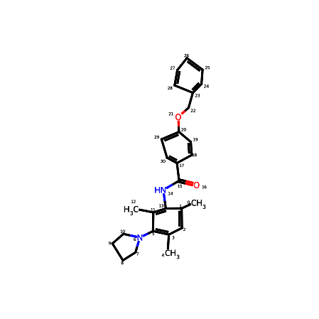 Cc1cc(C)c(N2CCCC2)c(C)c1NC(=O)c1ccc(OCc2ccccc2)cc1